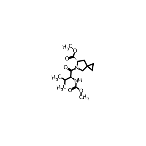 COC(=O)N[C@H](C(=O)N1CC2(CC2)C[C@H]1C(=O)OC)C(C)C